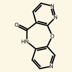 O=C1Nc2ccncc2Oc2nnccc21